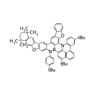 CC(C)(C)c1ccc(N2B3c4cc(C(C)(C)C)ccc4N(c4ccc(C(C)(C)C)cc4-c4ccccc4)c4c3c(cc3c4oc4ccccc43)-c3cc4c(cc32)oc2cc3c(cc24)C(C)(C)CCC3(C)C)cc1